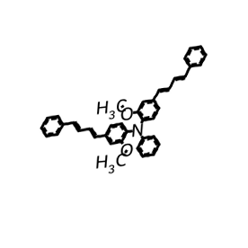 COc1cc(C=CC=Cc2ccccc2)ccc1N(c1ccccc1)c1ccc(C=CC=Cc2ccccc2)cc1OC